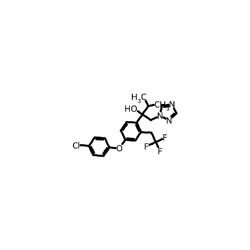 CC(C)C(O)(Cn1cncn1)c1ccc(Oc2ccc(Cl)cc2)cc1CC(F)(F)F